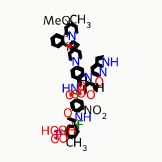 CO[C@]1(C)CCN(C2CC3(CCN(c4ccc(C(=O)NS(=O)(=O)c5cc6c(c([N+](=O)[O-])c5)N[C@@H](C5(F)CCC(C)(OP(=O)(O)O)CC5)CO6)c(N5c6cc7cc[nH]c7nc6O[C@H]6COCC[C@@H]65)c4)CC3)C2)[C@H](c2ccccc2C(C)C)C1